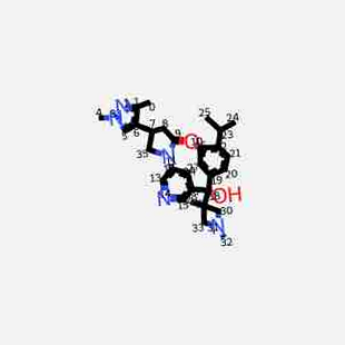 Cc1nn(C)cc1C1CC(=O)N(c2cncc([C@@](O)(c3ccc(C(C)C)cc3)C3(C)CN(C)C3)c2)C1